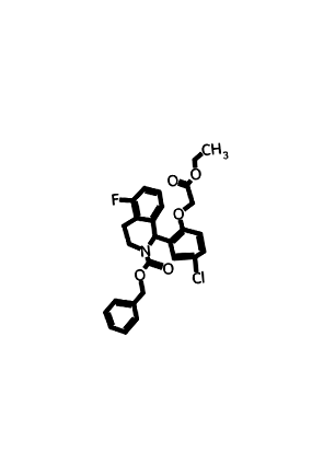 CCOC(=O)COc1ccc(Cl)cc1C1c2cccc(F)c2CCN1C(=O)OCc1ccccc1